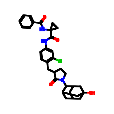 O=C(NC1(C(=O)Nc2ccc(CC3CCN(C4C5CC6CC4CC(O)(C6)C5)C3=O)c(Cl)c2)CC1)c1ccccc1